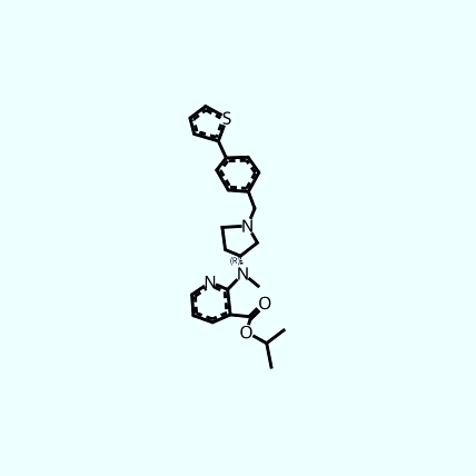 CC(C)OC(=O)c1cccnc1N(C)[C@@H]1CCN(Cc2ccc(-c3cccs3)cc2)C1